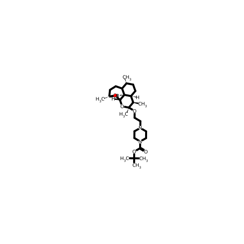 C[C@@H]1CC[C@H]2[C@@H](C)[C@@](C)(OCCN3CCN(C(=O)OC(C)(C)C)CC3)O[C@@H]3O[C@]4(C)CCC1[C@]32OO4